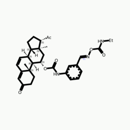 CCNC(=O)O/N=C/c1cccc(NC(=O)O[C@H]2C[C@]3(C)[C@@H](C(C)=O)CC[C@H]3[C@@H]3C=CC4=CC(=O)CC[C@@]4(C)[C@@H]32)c1